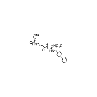 CC(C)(C)COC(=O)NCCCC(=O)NCC(=O)NC(CC(=O)O)c1ccc(-c2ccccc2)cc1